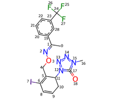 CC(=NOCC1=C(I)C=CCC1n1nnn(C)c1=O)c1cccc(C(F)(F)F)c1